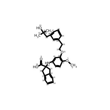 COc1ccc(NC2(C(=O)O)Cc3ccccc3C2)cc1OCCc1cccc(CC(C)(C)O)c1